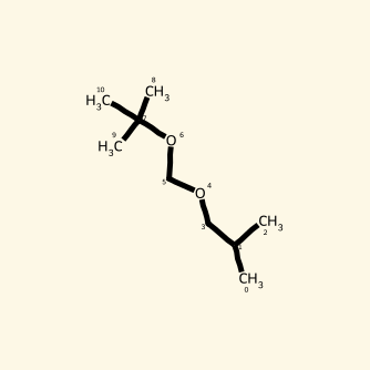 CC(C)COCOC(C)(C)C